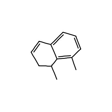 C[C]1CC=Cc2cccc(C)c21